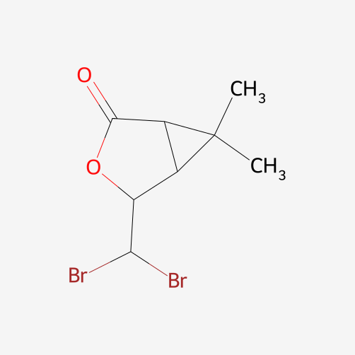 CC1(C)C2C(=O)OC(C(Br)Br)C21